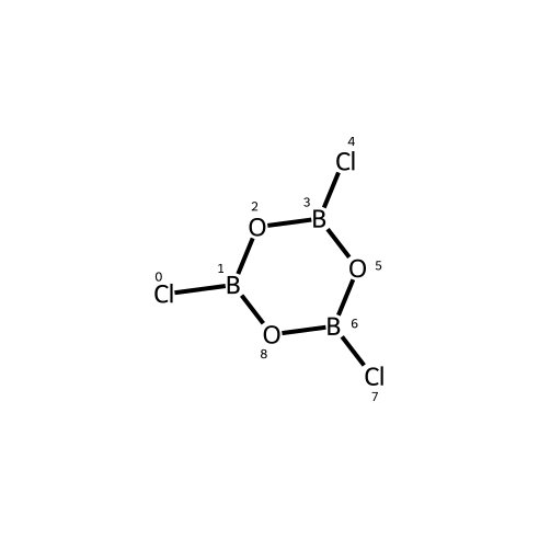 ClB1OB(Cl)OB(Cl)O1